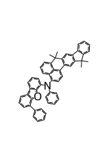 CC1(C)c2ccccc2-c2cc3c(cc21)-c1ccc(N(c2ccccc2)c2cccc4c2oc2c(-c5ccccc5)cccc24)c2cccc(c12)C3(C)C